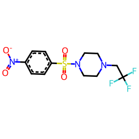 O=[N+]([O-])c1ccc(S(=O)(=O)N2CCN(CC(F)(F)F)CC2)cc1